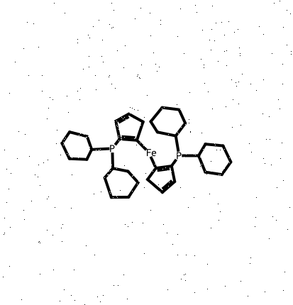 C1=CC(P(C2CCCCC2)C2CCCCC2)=[C]([Fe][C]2=C(P(C3CCCCC3)C3CCCCC3)C=CC2)C1